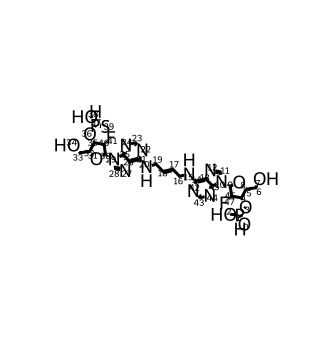 O=[PH](O)O[C@@H]1C(CO)O[C@@H](n2cnc3c(NC/C=C/CNc4ncnc5c4ncn5[C@@H]4OC(CO)[C@@H](O[PH](O)=S)[C@H]4F)ncnc32)[C@@H]1F